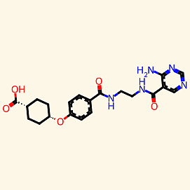 Nc1ncncc1C(=O)NCCNC(=O)c1ccc(O[C@H]2CC[C@@H](C(=O)O)CC2)cc1